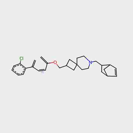 C=C(/C=C\C(=C)c1ccccc1Cl)OCC1CC2(CCN(CC3CC4C=CC3C4)CC2)C1